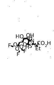 CCN(C(=O)O)C1=N[C@@H]2[C@@H](O)[C@H](O)[C@H](CC(OCF)(OCF)OCF)O[C@@H]2S1